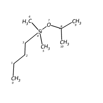 CCCC[Si](C)(C)O[C](C)C